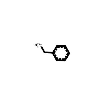 [13CH3]Cc1ccccc1